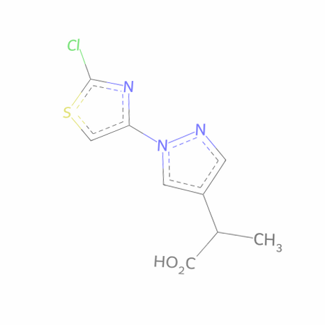 CC(C(=O)O)c1cnn(-c2csc(Cl)n2)c1